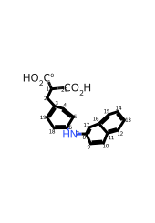 O=C(O)C(Cc1ccc(Nc2ccc3ccccc3c2)cc1)C(=O)O